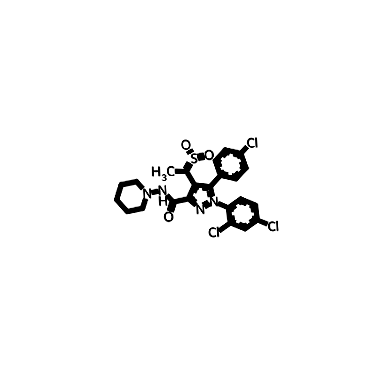 CC(c1c(C(=O)NN2CCCCC2)nn(-c2ccc(Cl)cc2Cl)c1-c1ccc(Cl)cc1)=S(=O)=O